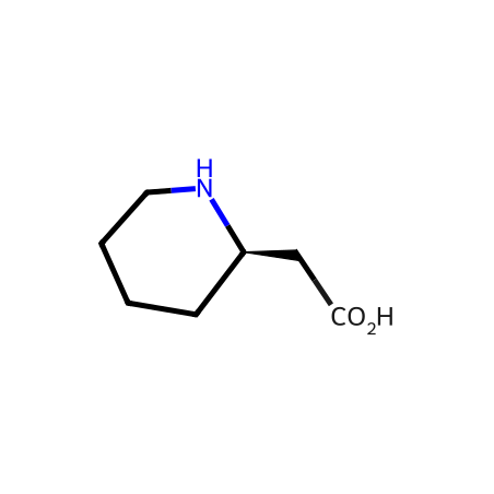 O=C(O)C[C@H]1CCCCN1